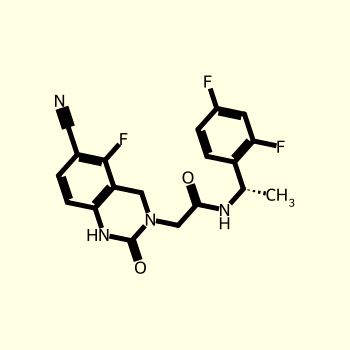 C[C@H](NC(=O)CN1Cc2c(ccc(C#N)c2F)NC1=O)c1ccc(F)cc1F